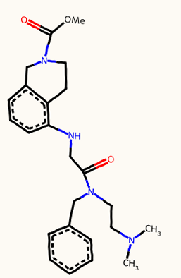 COC(=O)N1CCc2c(cccc2NCC(=O)N(CCN(C)C)Cc2ccccc2)C1